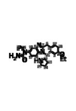 CCOc1ccc(Cc2nc3cc(N(C(N)=O)C(C)C)ccc3n2C[C@@H]2CCCN2)cc1